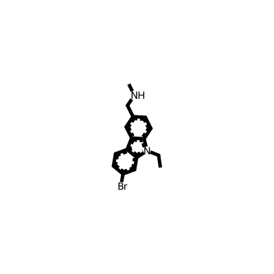 CCn1c2ccc(CNC)cc2c2ccc(Br)cc21